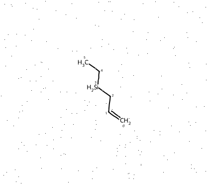 C=CC[SiH2]CC